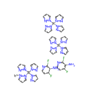 Nc1c(F)ccnc1F.Nc1c(F)ccnc1F.[Ir+3].c1cnn([B-](n2cccn2)(n2cccn2)n2cccn2)c1.c1cnn([B-](n2cccn2)(n2cccn2)n2cccn2)c1.c1cnn([B-](n2cccn2)(n2cccn2)n2cccn2)c1